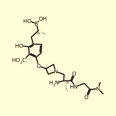 C[C@H](Cc1ccc(OC2CN(C[C@](C)(N)C(=O)NCC(=O)N(C)C)C2)c(C(=O)O)c1O)B(O)O